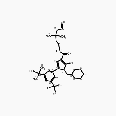 Cc1c(C(=O)NCCC(C)(C)OC=O)cc(-c2cc(C(C)(C)O)cc(C(F)(F)F)c2)n1CC1CCCCC1